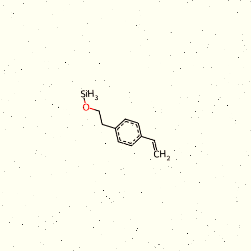 C=Cc1ccc(CCO[SiH3])cc1